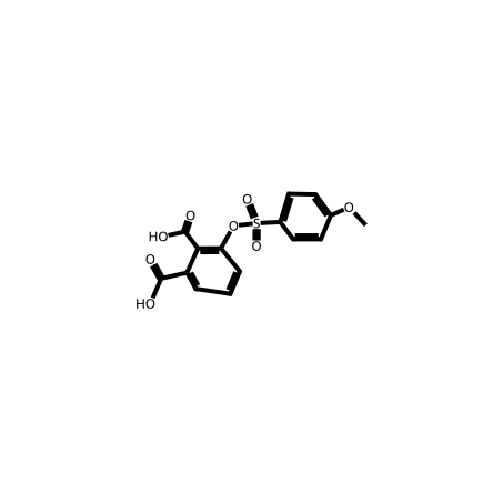 COc1ccc(S(=O)(=O)Oc2cccc(C(=O)O)c2C(=O)O)cc1